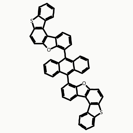 c1ccc2c(c1)sc1ccc3oc4c(-c5c6ccccc6c(-c6cccc7c6oc6ccc8sc9ccccc9c8c67)c6ccccc56)cccc4c3c12